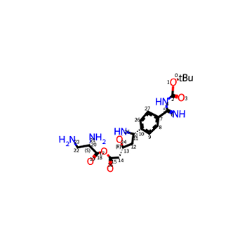 CC(C)(C)OC(=O)NC(=N)c1ccc([C@@H]2C[C@H](CC(=O)OC(=O)[C@@H](N)CN)ON2)cc1